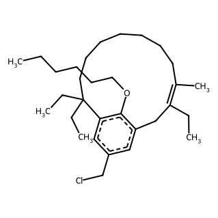 CCCCCCOc1c2cc(CCl)cc1C(CC)(CC)CCCCCCC/C(C)=C(/CC)C2